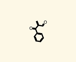 C=C(C=O)C(=O)c1ccccc1